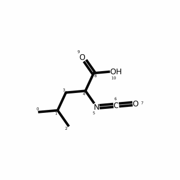 CC(C)CC(N=C=O)C(=O)O